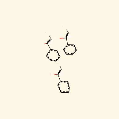 CC(=O)/C=C(\O)c1ccccc1.CC(=O)/C=C(\O)c1ccccc1.CC(=O)/C=C(\O)c1ccccc1.[Fe]